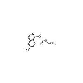 CCOC(=O)[C@H]1CC1c1nccc2cc(Cl)ccc12